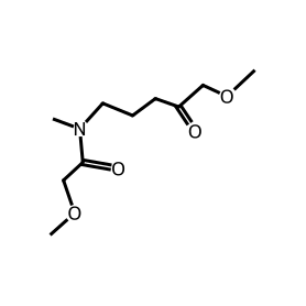 COCC(=O)CCCN(C)C(=O)COC